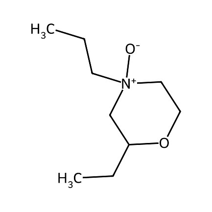 CCC[N+]1([O-])CCOC(CC)C1